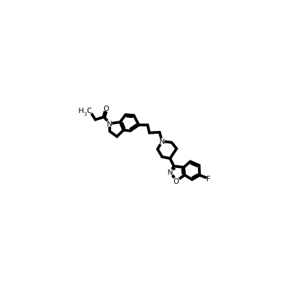 CCC(=O)N1CCc2cc(CCCN3CCC(c4noc5cc(F)ccc45)CC3)ccc21